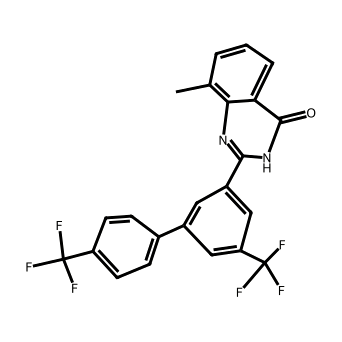 Cc1cccc2c(=O)[nH]c(-c3cc(-c4ccc(C(F)(F)F)cc4)cc(C(F)(F)F)c3)nc12